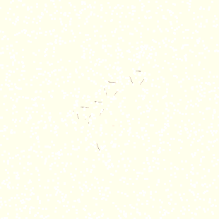 C=C(C)CCC(CCC)c1cc(-c2ccc(Cc3ccccn3)cc2)cc2cncnc12